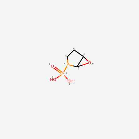 O=P(O)(O)P1CCC2OC21